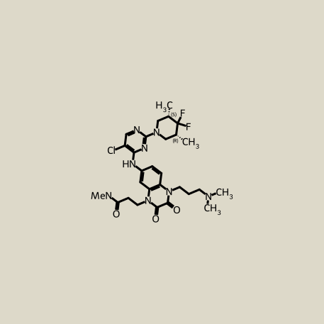 CNC(=O)CCn1c(=O)c(=O)n(CCCN(C)C)c2ccc(Nc3nc(N4C[C@@H](C)C(F)(F)[C@@H](C)C4)ncc3Cl)cc21